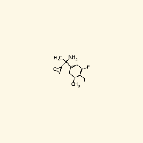 CC1CC(C(C)(N)[C@@H]2CO2)=CC(F)=C1F